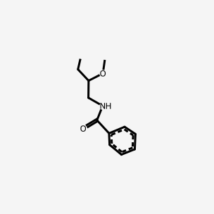 CCC(CNC(=O)c1ccccc1)OC